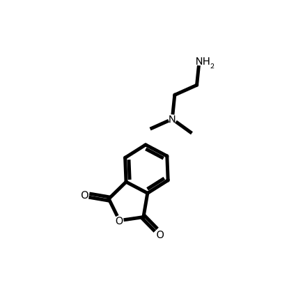 CN(C)CCN.O=C1OC(=O)c2ccccc21